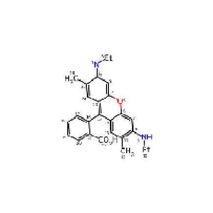 CCN=c1cc2oc3cc(NCC)c(C)cc3c(-c3ccccc3C(=O)O)c-2cc1C